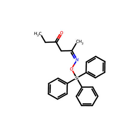 CCC(=O)CC(C)=NO[Si](c1ccccc1)(c1ccccc1)c1ccccc1